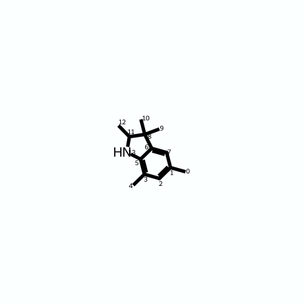 Cc1cc(C)c2c(c1)C(C)(C)C(C)N2